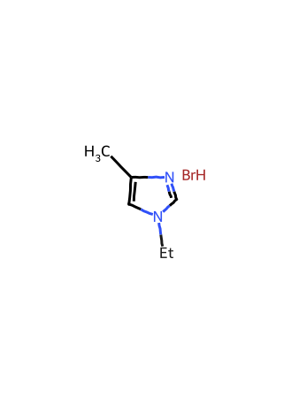 Br.CCn1cnc(C)c1